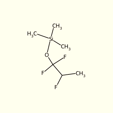 CC(F)C(F)(F)O[Si](C)(C)C